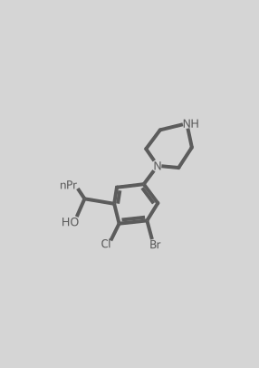 CCCC(O)c1cc(N2CCNCC2)cc(Br)c1Cl